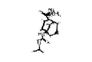 CC(C)OC(=O)NC12CCCC(C1)C(C(N)=O)CC2